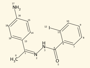 CC(=NNC(=O)c1ccccc1I)c1ccc(N)cc1